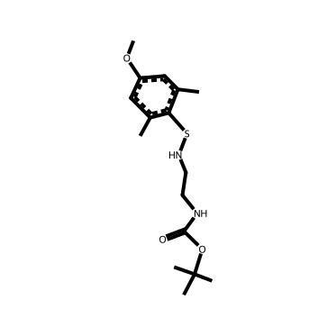 COc1cc(C)c(SNCCNC(=O)OC(C)(C)C)c(C)c1